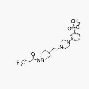 CS(=O)(=O)c1cccc(N2CCN(CCC3CCC(NC(=O)CCC(F)(F)F)CC3)CC2)c1